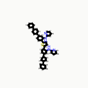 c1ccc(-c2ccc(-c3ccc(-c4ccc(-c5ccc(-c6ccc(-c7ccccc7)cc6)cc5Nc5ccccn5)s4)c(Nc4ccccn4)c3)cc2)cc1